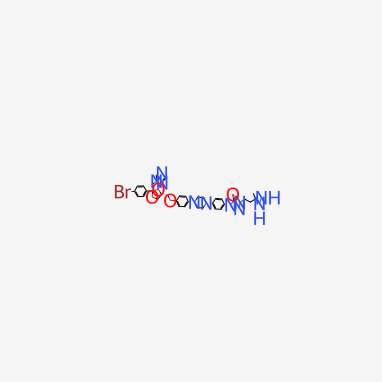 CC1(CCn2ncn(-c3ccc(N4CCN(c5ccc(OC[C@@H]6CO[C@@](Cn7cncn7)(c7ccc(Br)cc7)O6)cc5)CC4)cc3)c2=O)NN1